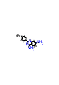 CC(C)(C)c1ccc(-c2nc(N)c3ccc(N)cc3n2)cc1